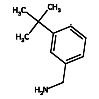 CC(C)(C)c1[c]ccc(CN)c1